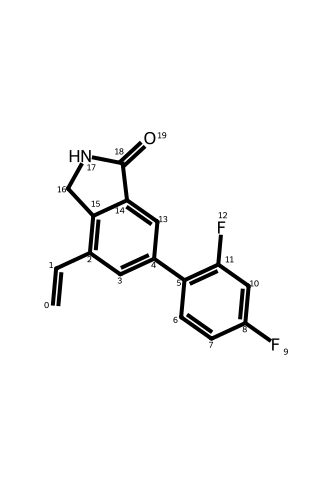 C=Cc1cc(-c2ccc(F)cc2F)cc2c1CNC2=O